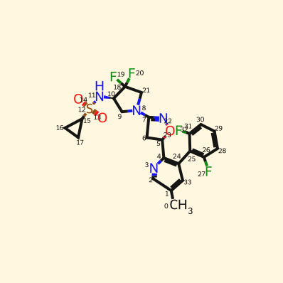 Cc1cnc(C2CC(N3C[C@@H](NS(=O)(=O)C4CC4)C(F)(F)C3)=NO2)c(-c2c(F)cccc2F)c1